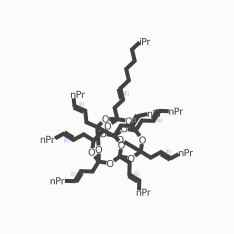 CCC/C=C/CC12OC3(C/C=C/CCC)OC4(C/C=C/CCC)OC(C/C=C/CCC)(O1)OC1(C/C=C/CCC)OC(C/C=C/CCC)(O2)OC(C/C=C/CCC)(O3)OC(C/C=C/CCCCC(C)C)(O4)O1